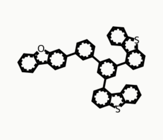 c1cc(-c2cc(-c3cccc4sc5ccccc5c34)cc(-c3cccc4sc5ccccc5c34)c2)cc(-c2ccc3c(c2)oc2ccccc23)c1